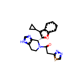 O=C(Cc1nncs1)N1CCc2[nH]cnc2[C@@H]1c1oc2ccccc2c1C1CC1